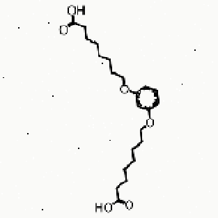 O=C(O)CCCCCCCOc1cccc(OCCCCCCCC(=O)O)c1